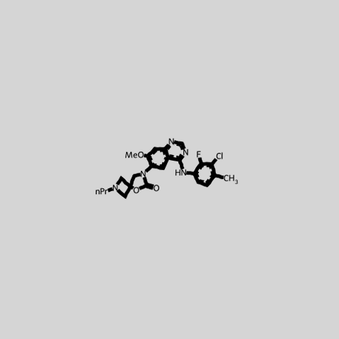 CCCN1CC2(C1)CN(c1cc3c(Nc4ccc(C)c(Cl)c4F)ncnc3cc1OC)C(=O)O2